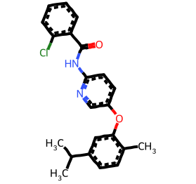 Cc1ccc(C(C)C)cc1Oc1ccc(NC(=O)c2ccccc2Cl)nc1